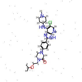 CC(C)OCCN1CCN(c2ccc(-c3nc4c(NC5CCN(C)CC5)c(Cl)cnc4[nH]3)cc2)CC1=O